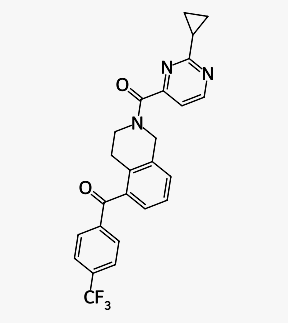 O=C(c1ccc(C(F)(F)F)cc1)c1cccc2c1CCN(C(=O)c1ccnc(C3CC3)n1)C2